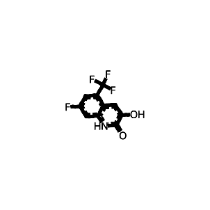 O=c1[nH]c2cc(F)cc(C(F)(F)F)c2cc1O